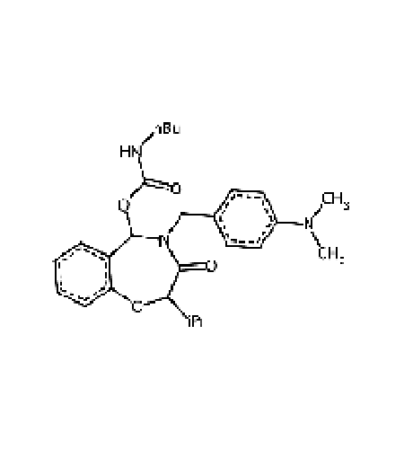 CCCCNC(=O)OC1c2ccccc2OC(C(C)C)C(=O)N1Cc1ccc(N(C)C)cc1